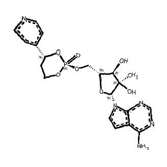 C[C@@]1(O)[C@H](O)[C@@H](CO[P@@]2(=O)OCC[C@H](c3ccncc3)O2)O[C@H]1n1ccc2c(N)ncnc21